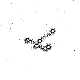 c1ccc(COCCOCc2ccc(C3C(COCc4cccnc4)CNCC3OCc3ccc4ccccc4c3)cc2)cc1